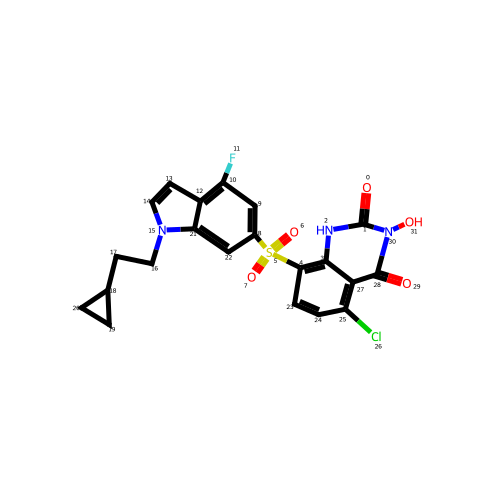 O=c1[nH]c2c(S(=O)(=O)c3cc(F)c4ccn(CCC5CC5)c4c3)ccc(Cl)c2c(=O)n1O